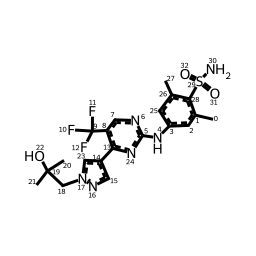 Cc1cc(Nc2ncc(C(F)(F)F)c(-c3cnn(CC(C)(C)O)c3)n2)cc(C)c1S(N)(=O)=O